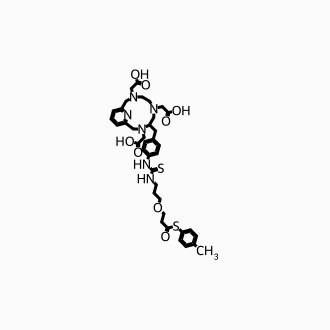 Cc1ccc(SC(=O)CCOCCCNC(=S)Nc2ccc(CC3CN(CC(=O)O)CCN(CC(=O)O)Cc4cccc(n4)CN3CC(=O)O)cc2)cc1